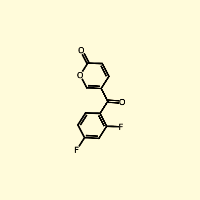 O=C(c1ccc(=O)oc1)c1ccc(F)cc1F